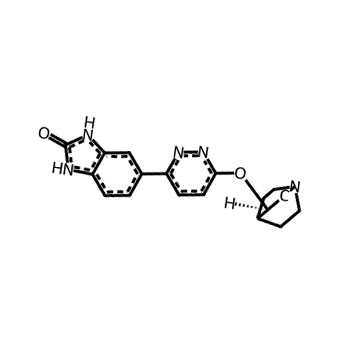 O=c1[nH]c2ccc(-c3ccc(O[C@H]4CN5CCC4CC5)nn3)cc2[nH]1